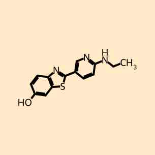 CCNc1ccc(-c2nc3ccc(O)cc3s2)cn1